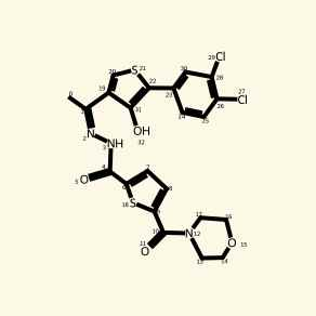 CC(=NNC(=O)c1ccc(C(=O)N2CCOCC2)s1)c1csc(-c2ccc(Cl)c(Cl)c2)c1O